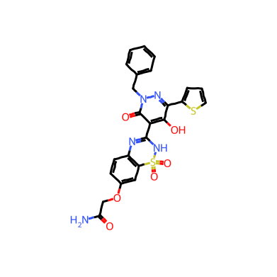 NC(=O)COc1ccc2c(c1)S(=O)(=O)NC(c1c(O)c(-c3cccs3)nn(Cc3ccccc3)c1=O)=N2